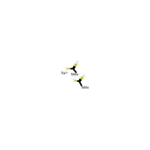 CNC(=S)[S-].CNC(=S)[S-].[Te+2]